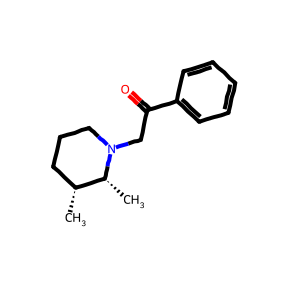 C[C@@H]1CCCN(CC(=O)c2ccccc2)[C@@H]1C